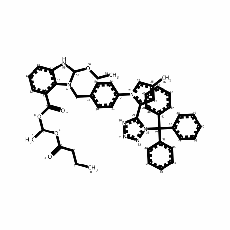 CCCC(=O)OC(C)OC(=O)c1cccc2c1N(Cc1ccc(-n3cc(C)cc3-c3nnnn3C(c3ccccc3)(c3ccccc3)c3ccccc3)cc1)C(OCC)N2